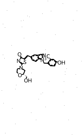 O=C1N=C(N2CCO[C@@H](CO)C2)S/C1=C\c1ccc2c(cnn2Cc2ccc(O)cc2C(F)(F)F)c1